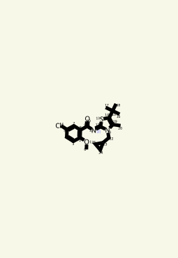 COc1ccc(Cl)cc1C(=O)/N=c1\sc(C(C)(C)C)c(C)n1CC1CC1